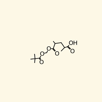 CC(CC(C)C(=O)OCOC(=O)C(C)(C)C)C(=O)O